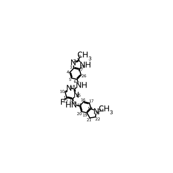 Cc1nc2ccc(Nc3ncc(F)c(Nc4ccc5c(c4)CCN5C)n3)cc2[nH]1